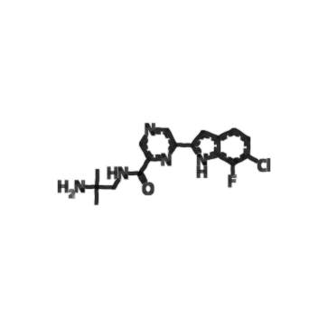 CC(C)(N)CNC(=O)c1cncc(-c2cc3ccc(Cl)c(F)c3[nH]2)n1